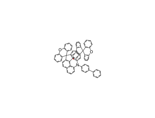 c1ccc(-c2ccc(N(c3ccc4c(c3)C3(c5ccccc5Oc5ccccc53)c3ccccc3-4)c3cccc4ccc5c(c34)-c3ccccc3C53c4ccccc4Oc4ccccc43)cc2)cc1